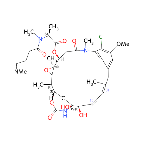 CNCCCC(=O)N(C)[C@@H](C)C(=O)O[C@H]1CC(=O)N(C)c2cc(cc(OC)c2Cl)C/C(C)=C/C=C/[C@@H](O)[C@@]2(O)C[C@H](OC(=O)N2)[C@@H](C)C2O[C@]21C